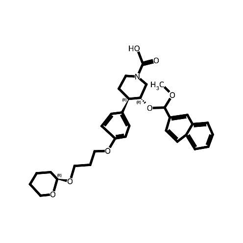 COC(O[C@H]1CN(C(=O)O)CC[C@@H]1c1ccc(OCCCO[C@@H]2CCCCO2)cc1)c1ccc2ccccc2c1